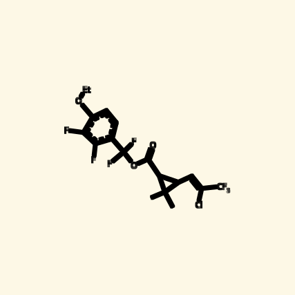 CCOc1ccc(C(F)(F)OC(=O)C2C(C=C(Cl)C(F)(F)F)C2(C)C)c(F)c1F